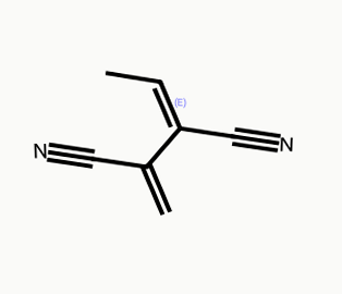 C=C(C#N)/C(C#N)=C\C